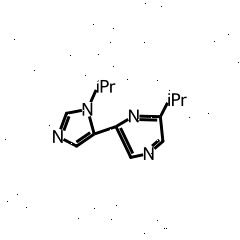 CC(C)c1cncc(-c2cncn2C(C)C)n1